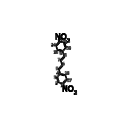 O=[N+]([O-])c1ccc(/C=C/C=C/c2ccc([N+](=O)[O-])cc2)cc1